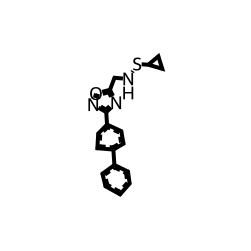 c1ccc(-c2ccc(-c3noc(CNSC4CC4)n3)cc2)cc1